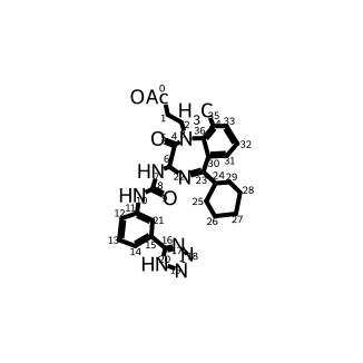 CC(=O)OCCN1C(=O)C(NC(=O)Nc2cccc(-c3nnn[nH]3)c2)N=C(C2CCCCC2)c2cccc(C)c21